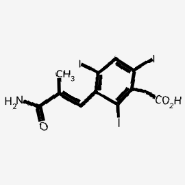 CC(=Cc1c(I)cc(I)c(C(=O)O)c1I)C(N)=O